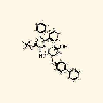 CC(C)(C)OC(=O)N[C@@H](C[C@@H](O)[C@H](Cc1ccc(-c2ccccn2)cc1)NC(=O)O)C(Cc1ccccc1)c1ccccc1